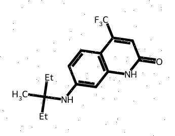 CCC(C)(CC)Nc1ccc2c(C(F)(F)F)cc(=O)[nH]c2c1